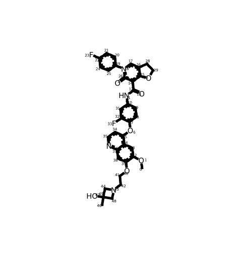 COc1cc2c(Oc3ccc(NC(=O)c4c5c(cn(-c6ccc(F)cc6)c4=O)CCO5)cc3F)ccnc2cc1OCCN1CC(C)(O)C1